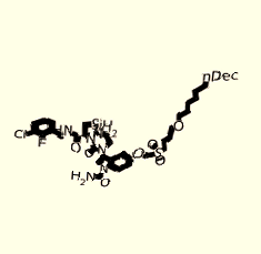 CCCCCCCCCCCCCCCCOCCCCS(=O)(=O)COc1ccc2c(c1)c(N1CCN3[SiH2]C[C@@H](C(=O)NCc4cccc(Cl)c4F)N3C1=O)cn2C(N)=O